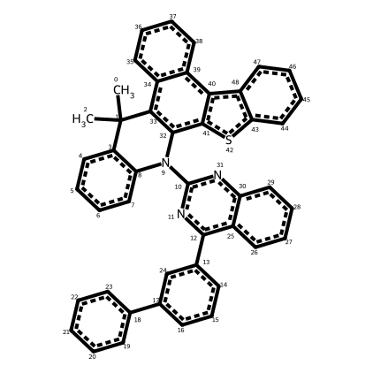 CC1(C)c2ccccc2N(c2nc(-c3cccc(-c4ccccc4)c3)c3ccccc3n2)c2c1c1ccccc1c1c2sc2ccccc21